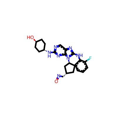 O=NC[C@H]1CC[C@H](n2c(Nc3ccccc3F)nc3cnc(N[C@H]4CC[C@H](O)CC4)nc32)C1